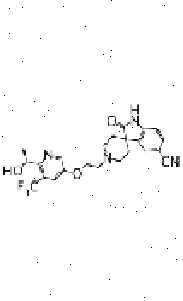 C[C@H](O)c1ncc(OCCN2CCC3(CC2)C(=O)Nc2ccc(C#N)cc23)cc1C(F)(F)F